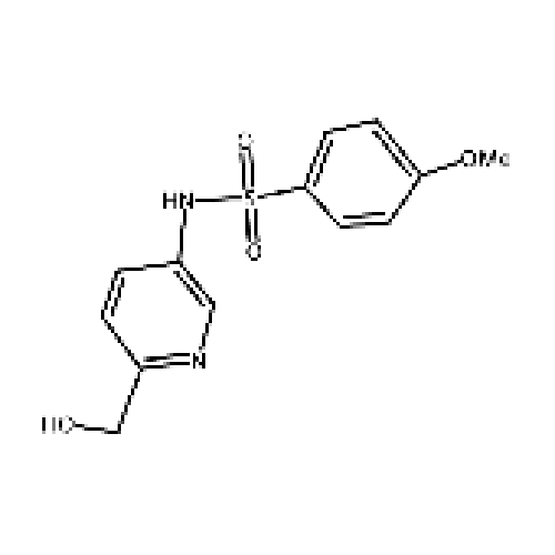 COc1ccc(S(=O)(=O)Nc2ccc(CO)nc2)cc1